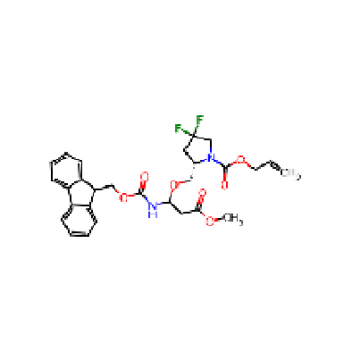 C=CCOC(=O)N1CC(F)(F)C[C@H]1COC(CC(=O)OC)NC(=O)OCC1c2ccccc2-c2ccccc21